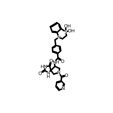 O=C1NC(=O)C2(CN(C(=O)c3cccnc3)CC2NC(=O)c2ccc(CN3CCS(O)(O)c4ccccc43)cc2)N1